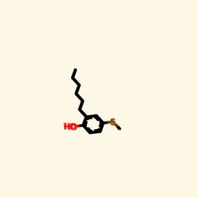 CCCCCCc1cc(SC)ccc1O